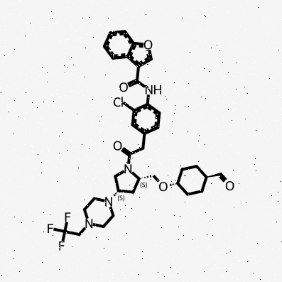 O=C[C@H]1CC[C@H](OC[C@@H]2C[C@H](N3CCN(CC(F)(F)F)CC3)CN2C(=O)Cc2ccc(NC(=O)c3coc4ccccc34)c(Cl)c2)CC1